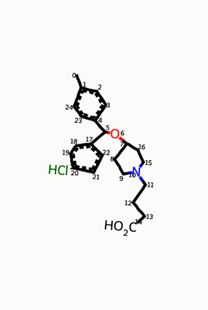 Cc1ccc(C(OC2CCN(CCCC(=O)O)CC2)c2ccccc2)cc1.Cl